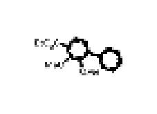 CCOC(=O)c1ccc(-c2ccccc2)c(OC)c1OC